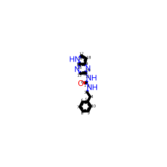 O=C(NCCc1ccccc1)Nc1cnc2[nH]ccc2n1